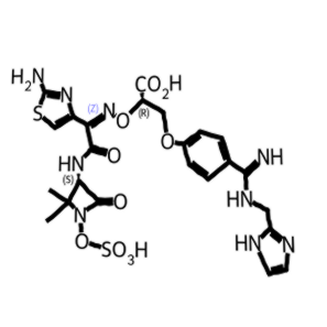 CC1(C)[C@H](NC(=O)/C(=N\O[C@H](COc2ccc(C(=N)NCc3ncc[nH]3)cc2)C(=O)O)c2csc(N)n2)C(=O)N1OS(=O)(=O)O